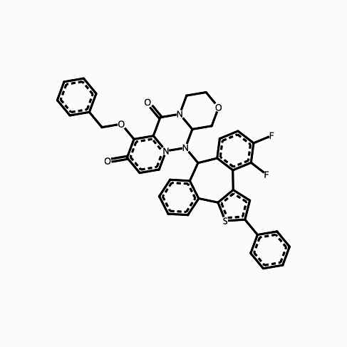 O=C1c2c(OCc3ccccc3)c(=O)ccn2N(C2c3ccccc3-c3sc(-c4ccccc4)cc3-c3c2ccc(F)c3F)C2COCCN12